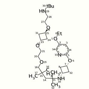 CCOc1ccc(O[C@H]2C[C@@H](NC(C)(C)CC(C)(C)COCCO[C@H]3C[C@H](OCCNC(C)(C)C)C3)C2)nc1